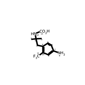 CC(C)(Cc1ccc(N)cc1C(F)(F)F)NC(=O)O